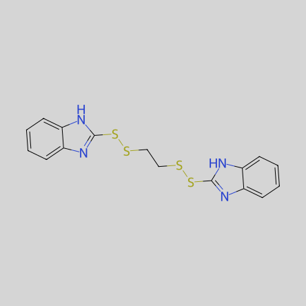 c1ccc2[nH]c(SSCCSSc3nc4ccccc4[nH]3)nc2c1